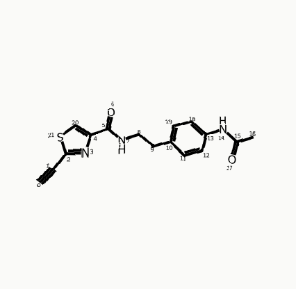 C#Cc1nc(C(=O)NCCc2ccc(NC(C)=O)cc2)cs1